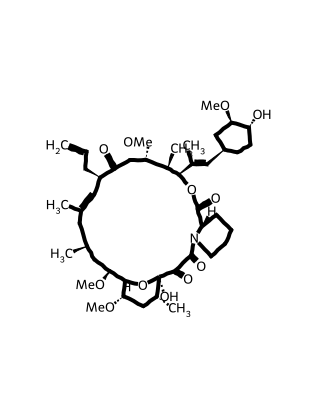 C=CC[C@@H]1/C=C(\C)C[C@H](C)C[C@H](OC)[C@H]2O[C@@](O)(C(=O)C(=O)N3CCCC[C@H]3C(=O)O[C@H](/C(C)=C/[C@@H]3CC[C@@H](O)[C@H](OC)C3)[C@H](C)[C@@H](OC)CC1=O)[C@H](C)C[C@@H]2OC